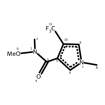 CON(C)C(=O)c1cn(C)cc1C(F)(F)F